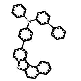 c1ccc(-c2cccc(N(c3ccccc3)c3ccc(-c4ccc5sc6ccc7ccccc7c6c5c4)cc3)c2)cc1